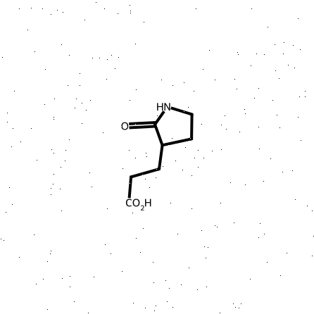 O=C(O)CCC1CCNC1=O